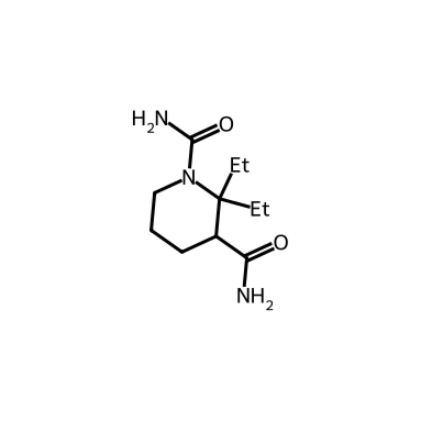 CCC1(CC)C(C(N)=O)CCCN1C(N)=O